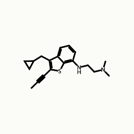 CC#Cc1sc2c(NCCN(C)C)cccc2c1CC1CC1